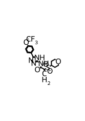 C=C(C(=O)Nc1nnc(-c2ccc(OC(F)(F)F)cc2)[nH]1)S(=O)(=O)C1CCOCC1